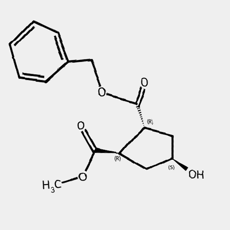 COC(=O)[C@@H]1C[C@H](O)C[C@H]1C(=O)OCc1ccccc1